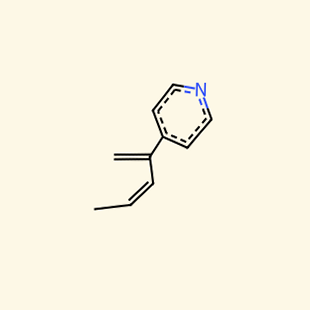 C=C(/C=C\C)c1ccncc1